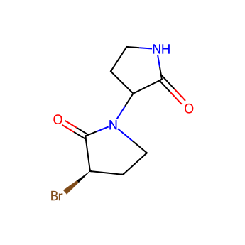 O=C1NCCC1N1CC[C@@H](Br)C1=O